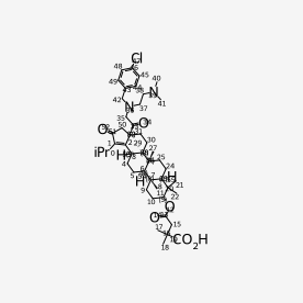 CC(C)C1=C2[C@H]3CC[C@@H]4[C@@]5(C)CC[C@H](OC(=O)CC(C)(C)C(=O)O)C(C)(C)[C@@H]5CC[C@@]4(C)[C@]3(C)CC[C@@]2(C(=O)CN(CCN(C)C)Cc2ccc(Cl)cc2)CC1=O